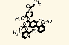 C=CC(=O)N1CCN(c2nc(=O)n(-c3c(C)ccnc3C(C)C)c3cc(-c4ccccc4C=O)c(Cl)cc23)[C@@H](C)C1